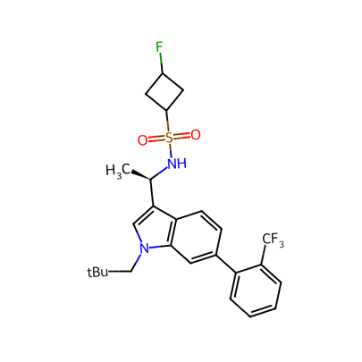 C[C@@H](NS(=O)(=O)C1CC(F)C1)c1cn(CC(C)(C)C)c2cc(-c3ccccc3C(F)(F)F)ccc12